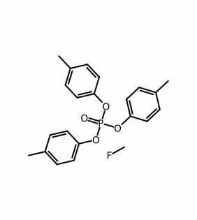 CF.Cc1ccc(OP(=O)(Oc2ccc(C)cc2)Oc2ccc(C)cc2)cc1